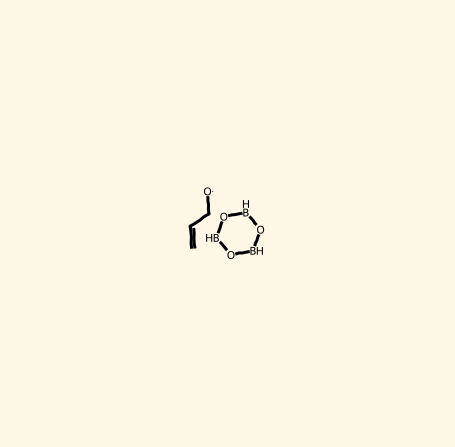 B1OBOBO1.C=CC[O]